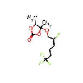 CC1OC(=O)OC1(C)OC/C(F)=C\CCC(F)(F)F